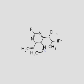 C=Cc1nc(F)nc(C(C)C(C)C(C)C)c1/N=C\C